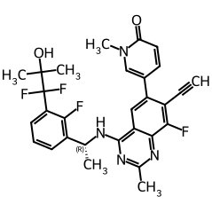 C#Cc1c(-c2ccc(=O)n(C)c2)cc2c(N[C@H](C)c3cccc(C(F)(F)C(C)(C)O)c3F)nc(C)nc2c1F